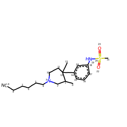 CC1CN(CCCCCC#N)CCC1(C)c1cccc(NS(C)(=O)=O)c1